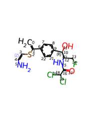 C=C(S/C=C\N)c1ccc([C@@H](O)[C@@H](CF)NC(=O)C(Cl)Cl)cc1